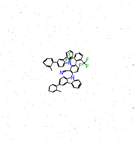 Cc1ccccc1-c1ccc2c(c1)c1ccccc1n2-c1ccc(-c2c(C(F)(F)F)cccc2C(F)(F)F)c(-n2c3ccccc3c3cc(-c4ccccc4C)ccc32)c1C#N